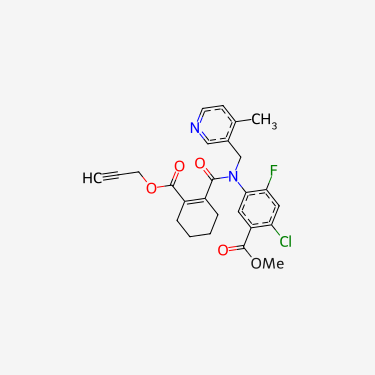 C#CCOC(=O)C1=C(C(=O)N(Cc2cnccc2C)c2cc(C(=O)OC)c(Cl)cc2F)CCCC1